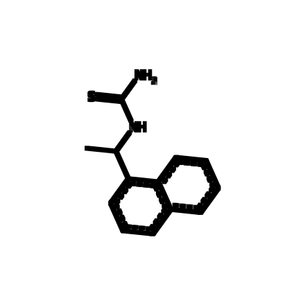 CC(NC(N)=S)c1cccc2ccccc12